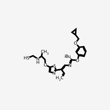 C=C/C(=C\N=C(\Oc1cccc(OCC2CC2)c1)[C@H](C)CC)c1ncc(OCC(C)NCS)s1